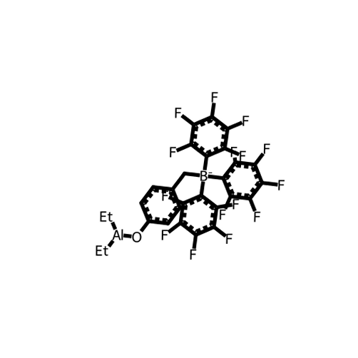 C[CH2][Al]([CH2]C)[O]c1ccc(C[B-](c2c(F)c(F)c(F)c(F)c2F)(c2c(F)c(F)c(F)c(F)c2F)c2c(F)c(F)c(F)c(F)c2F)cc1